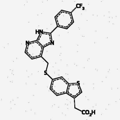 O=C(O)Cc1csc2cc(SCc3ccnc4[nH]c(-c5ccc(C(F)(F)F)cc5)nc34)ccc12